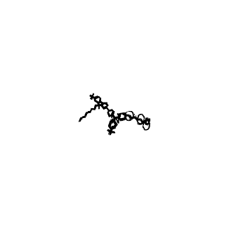 CCCCCCCCC1(C)c2cc(-c3ccc(N(c4ccc(OCCCOCc5ccco5)cc4)c4ccc(C(C)(C)C)cc4)cc3)ccc2-c2ccc(C(C)(C)C)cc21